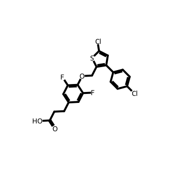 O=C(O)CCc1cc(F)c(OCc2sc(Cl)cc2-c2ccc(Cl)cc2)c(F)c1